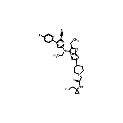 CCc1nc2sc(C3CCN(CC(=O)NC4(CO)CC4)CC3)cn2c1N(CC)c1nc(-c2ccc(F)cc2)c(C#N)s1